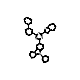 c1ccc(-c2cccc(-c3nc(-c4ccc5c(c4)c4ccccc4n5-c4ccccc4)nc(-c4cc5ccccc5o4)n3)c2)cc1